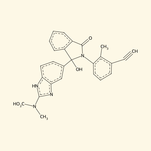 C#Cc1cccc(N2C(=O)c3ccccc3C2(O)c2ccc3[nH]c(N(C)C(=O)O)nc3c2)c1C